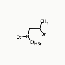 Br.CCN(CC)CC(C)Br